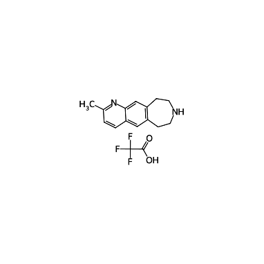 Cc1ccc2cc3c(cc2n1)CCNCC3.O=C(O)C(F)(F)F